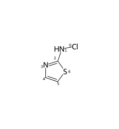 ClNc1nccs1